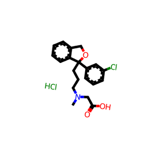 CN(CCCC1(c2cccc(Cl)c2)OCc2ccccc21)CC(=O)O.Cl